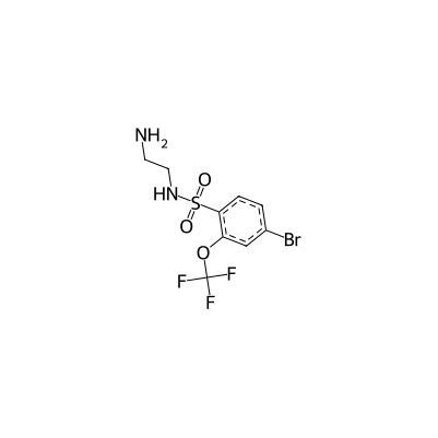 NCCNS(=O)(=O)c1ccc(Br)cc1OC(F)(F)F